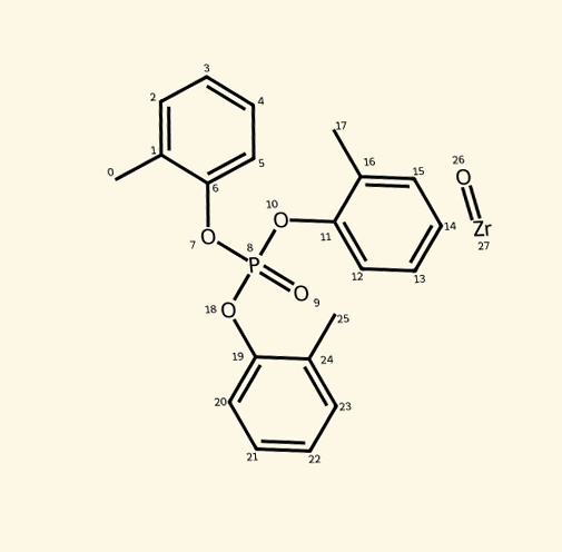 Cc1ccccc1OP(=O)(Oc1ccccc1C)Oc1ccccc1C.[O]=[Zr]